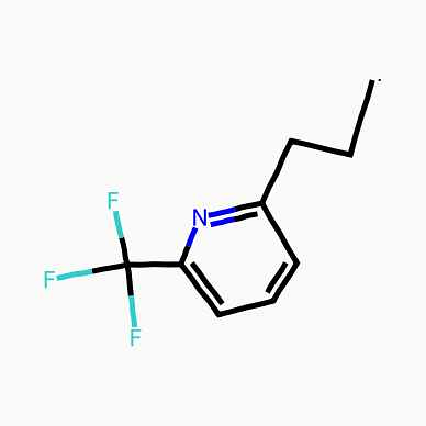 [CH2]CCc1cccc(C(F)(F)F)n1